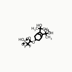 CC(C)(O)C1C2CC(OC(=O)C(F)(F)S(=O)(=O)O)CC(C2)C1C(C)(C)O